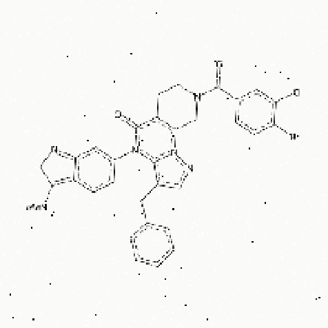 CNC1=c2ccc(-n3c(=O)c4c(n5ncc(Cc6ccccc6)c35)CN(C(=O)c3ccc(Br)c(Cl)c3)CC4)cc2=NC1